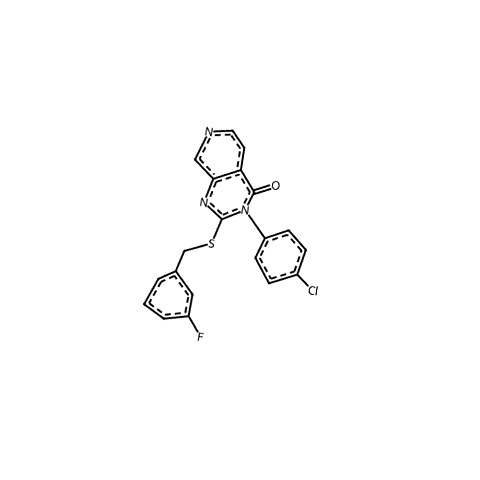 O=c1c2ccncc2nc(SCc2cccc(F)c2)n1-c1ccc(Cl)cc1